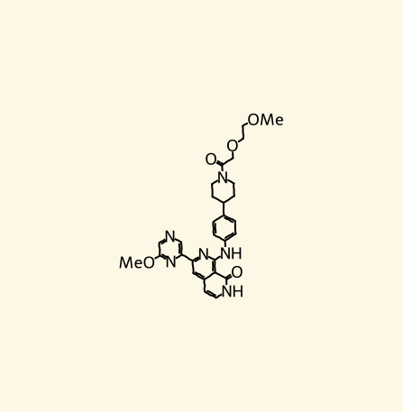 COCCOCC(=O)N1CCC(c2ccc(Nc3nc(-c4cncc(OC)n4)cc4cc[nH]c(=O)c34)cc2)CC1